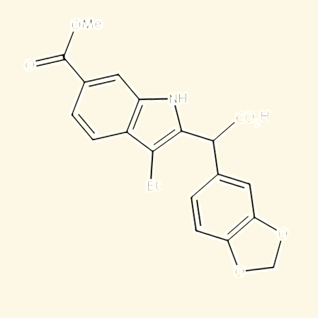 CCc1c(C(C(=O)O)c2ccc3c(c2)OCO3)[nH]c2cc(C(=O)OC)ccc12